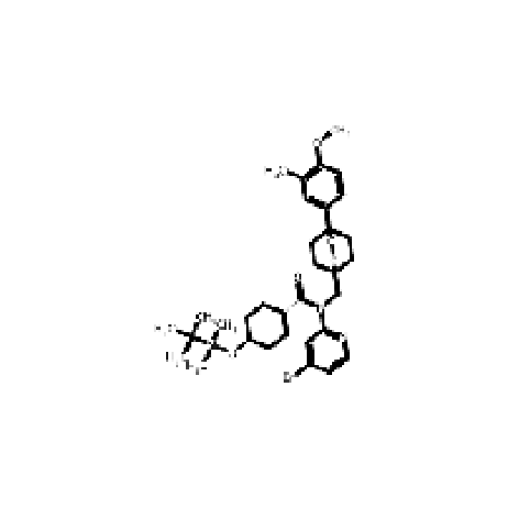 COc1ccc(C23CCC(CN(c4cc(Br)ccn4)C(=O)[C@H]4CC[C@H](O[Si](C)(C)C(C)(C)C)CC4)(CC2)CC3)cc1C